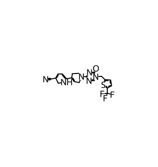 N#CC1=CC=C(C2=CCN(c3ncn(Cc4ccc(C(F)(F)F)s4)c(=O)n3)CC2)NC1